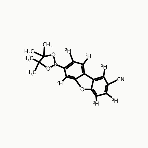 [2H]c1c(C#N)c([2H])c2c(oc3c([2H])c(B4OC(C)(C)C(C)(C)O4)c([2H])c([2H])c32)c1[2H]